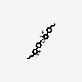 CCCCC1=CCC(C2CCC(COc3ccc(C4CCC(CCC)CC4)c(F)c3F)CC2)C(F)=C1F